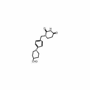 O=CC1CCN(c2ccc(CN3CCC(=O)NC3=O)cc2)CC1